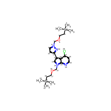 C[Si](C)(C)CCOCn1ccc(-c2cn(COCC[Si](C)(C)C)c3nccc(Cl)c23)n1